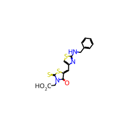 O=C(O)CN1C(=O)C(=Cc2csc(NCc3ccccc3)n2)SC1=S